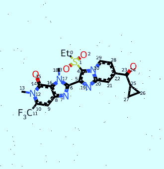 CCS(=O)(=O)c1c(-c2nc3cc(C(F)(F)F)n(C)c(=O)c3n2C)nc2cc(C(=O)C3CC3)ccn12